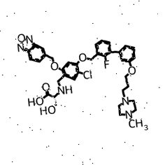 CN1CCN(CCCOc2cccc(-c3cccc(COc4cc(OCc5ccc6nonc6c5)c(CN[C@H](CO)C(=O)O)cc4Cl)c3F)c2)CC1